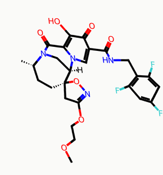 COCCOC1=NO[C@@]2(CC[C@H](C)N3C[C@H]2n2cc(C(=O)NCc4c(F)cc(F)cc4F)c(=O)c(O)c2C3=O)C1